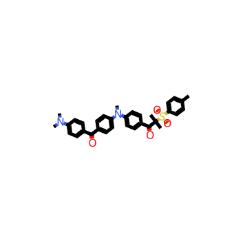 Cc1ccc(S(=O)(=O)C(C)(C)C(=O)c2ccc(N(C)c3ccc(C(=O)c4ccc(N(C)C)cc4)cc3)cc2)cc1